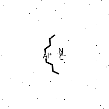 CCC[CH2][Al+][CH2]CCC.[C-]#N